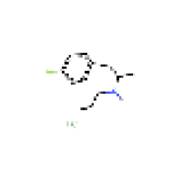 CCCN(C)C(C)Cc1ccc(F)cc1.Cl